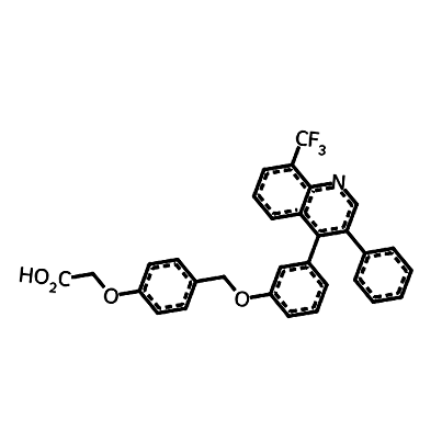 O=C(O)COc1ccc(COc2cccc(-c3c(-c4ccccc4)cnc4c(C(F)(F)F)cccc34)c2)cc1